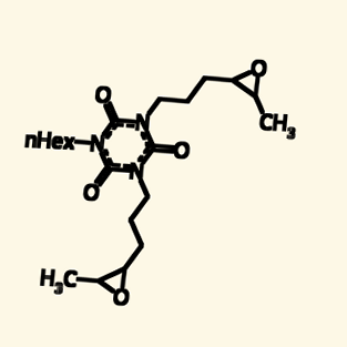 CCCCCCn1c(=O)n(CCCC2OC2C)c(=O)n(CCCC2OC2C)c1=O